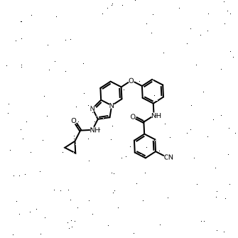 N#Cc1cccc(C(=O)Nc2cccc(Oc3ccc4nc(NC(=O)C5CC5)cn4c3)c2)c1